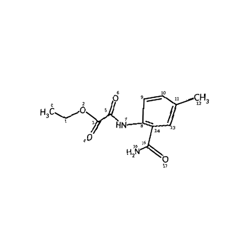 CCOC(=O)C(=O)Nc1ccc(C)cc1C(N)=O